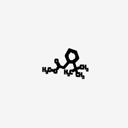 COC(=O)Cc1ccccc1C(C)(C)C